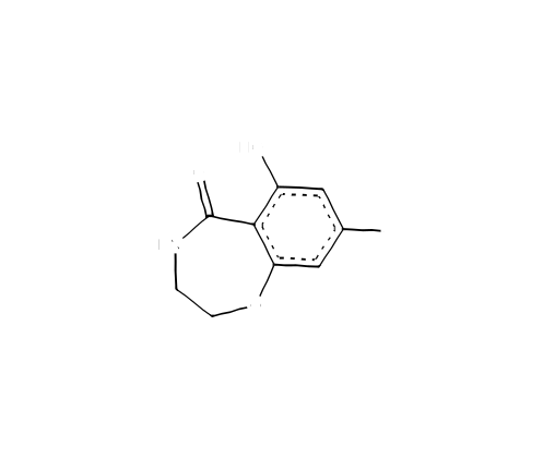 O=C1NCCOc2cc(Cl)cc(O)c21